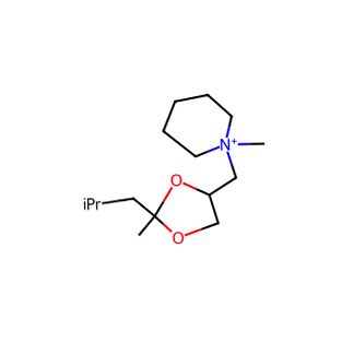 CC(C)CC1(C)OCC(C[N+]2(C)CCCCC2)O1